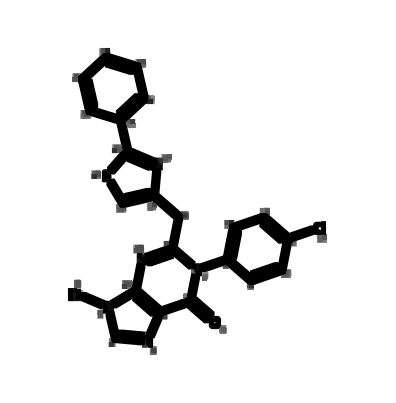 CCn1cnc2c(=O)n(-c3ccc(Cl)cc3)c(Cc3csc(-c4ccccc4)n3)nc21